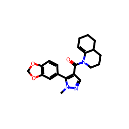 Cn1ncc(C(=O)N2CCCC3CCCC=C32)c1-c1ccc2c(c1)OCO2